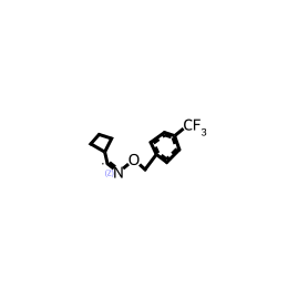 FC(F)(F)c1ccc(CO/N=[C]\C2CCC2)cc1